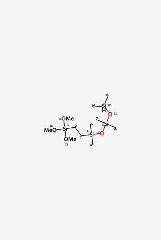 CO[Si](CC[Si](C)(C)O[Si](C)(C)O[SiH](C)C)(OC)OC